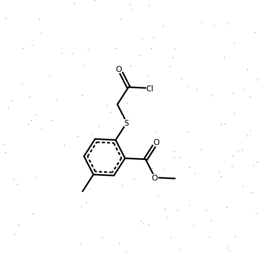 COC(=O)c1cc(C)ccc1SCC(=O)Cl